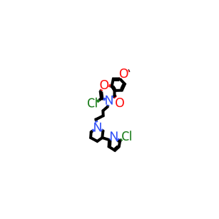 COc1ccc2c(c1)OC=C(Cl)N(CCCCN1CCCC(c3cccc(Cl)n3)C1)C2=O